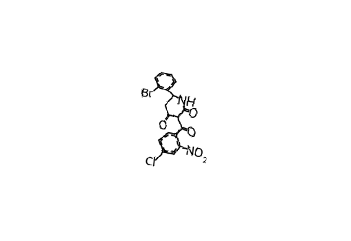 O=C1CC(c2ccccc2Br)NC(=O)C1C(=O)c1ccc(Cl)cc1[N+](=O)[O-]